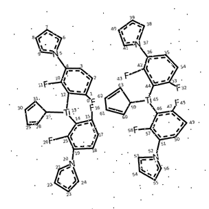 Fc1ccc(-n2cccc2)c(F)[c]1[Ti]([c]1c(F)ccc(-n2cccc2)c1F)[CH]1C=CC=C1.Fc1ccc(-n2cccc2)c(F)[c]1[Ti]([c]1c(F)ccc(-n2cccc2)c1F)[CH]1C=CC=C1